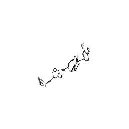 CCC=C[C@H]1CO[C@H](C#Cc2cnc(-c3ccc(F)c(F)c3)nc2)OC1